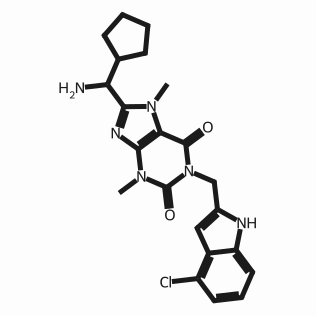 Cn1c(C(N)C2CCCC2)nc2c1c(=O)n(Cc1cc3c(Cl)cccc3[nH]1)c(=O)n2C